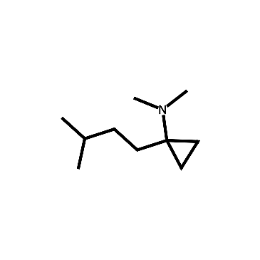 CC(C)CCC1(N(C)C)CC1